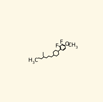 CCCC(I)CCCC1CCC(c2ccc(OC)c(F)c2F)CC1